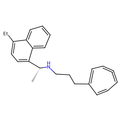 CCc1ccc([C@@H](C)NCCCC2=CC=C=CC=C2)c2ccccc12